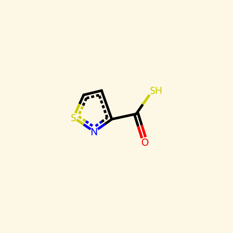 O=C(S)c1ccsn1